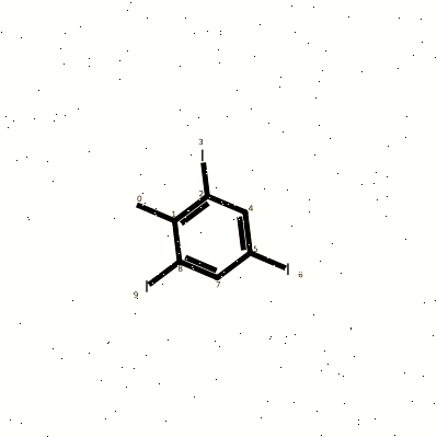 Cc1c(I)cc(I)cc1I